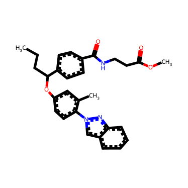 CCCC(Oc1ccc(-n2cc3ccccc3n2)c(C)c1)c1ccc(C(=O)NCCC(=O)OC)cc1